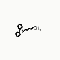 CC=CCC=C[CH2][Pt]([c]1ccccc1)[c]1ccccc1